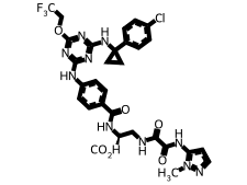 Cn1nccc1NC(=O)C(=O)NC[C@H](NC(=O)c1ccc(Nc2nc(NC3(c4ccc(Cl)cc4)CC3)nc(OCC(F)(F)F)n2)cc1)C(=O)O